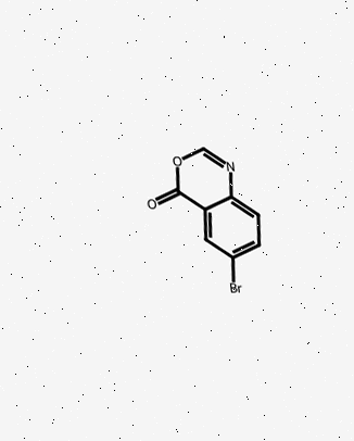 O=c1ocnc2ccc(Br)cc12